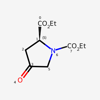 CCOC(=O)[C@@H]1CC(=O)CN1C(=O)OCC